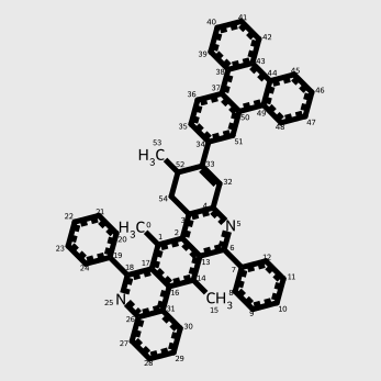 Cc1c2c3c(nc(-c4ccccc4)c2c(C)c2c1c(-c1ccccc1)nc1ccccc12)C=C(c1ccc2c4ccccc4c4ccccc4c2c1)C(C)C3